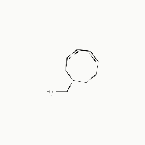 CCC1CC=CC=CCC1